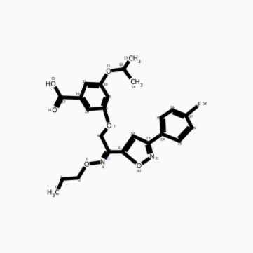 CCCO/N=C(\COc1cc(OC(C)C)cc(C(=O)O)c1)c1cc(-c2ccc(F)cc2)no1